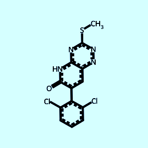 CSc1nnc2cc(-c3c(Cl)cccc3Cl)c(=O)[nH]c2n1